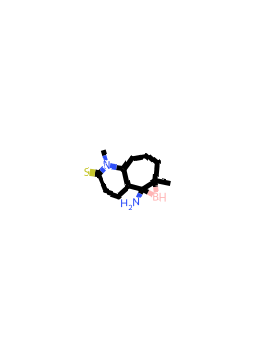 CN1C(=S)CCC2C1CCCC1(C)BC21N